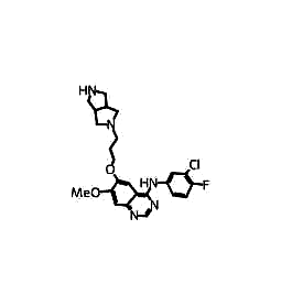 COc1cc2ncnc(Nc3ccc(F)c(Cl)c3)c2cc1OCCCN1CC2CNCC2C1